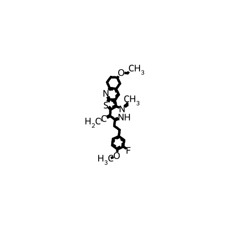 C=C=C(C(=N)CCc1ccc(OC)c(F)c1)c1sc2nc3c(cc2c1/N=C\C)CC(OCC)CC3